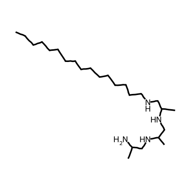 CCCCCCCCCCCCCCCCNCC(C)NCC(C)NCC(C)N